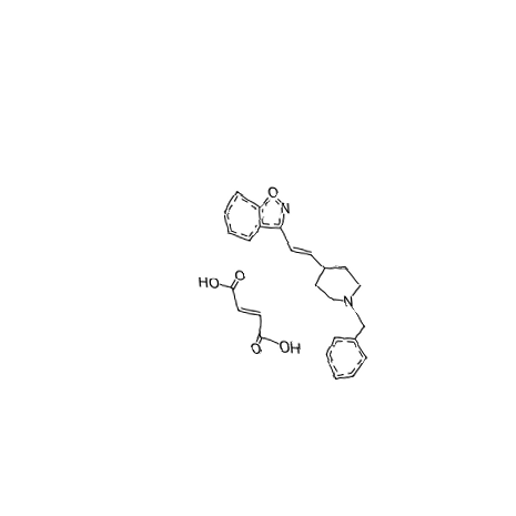 C(=CC1CCN(Cc2ccccc2)CC1)c1noc2ccccc12.O=C(O)C=CC(=O)O